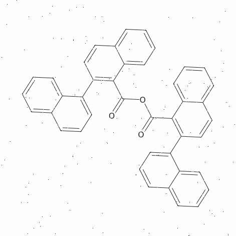 O=C(OC(=O)c1c(-c2cccc3ccccc23)ccc2ccccc12)c1c(-c2cccc3ccccc23)ccc2ccccc12